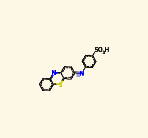 O=S(=O)(O)c1ccc(/N=c2\ccc3nc4ccccc4sc-3c2)cc1